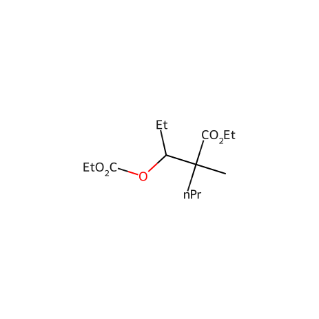 CCCC(C)(C(=O)OCC)C(CC)OC(=O)OCC